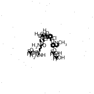 Cc1ccc2cccc(OCc3c(Cl)ccc(S(=O)(=O)NC(C)(C)C(=O)N4CCN(C(=O)[C@@H](N)CCCNC(=N)N)CC4)c3Cl)c2n1.O=C(O)C(F)(F)F.O=C(O)C(F)(F)F.O=C(O)C(F)(F)F